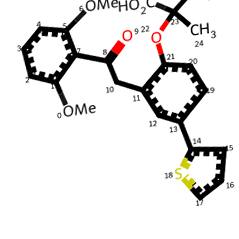 COc1cccc(OC)c1C(=O)Cc1cc(-c2cccs2)ccc1OC(C)(C)C(=O)O